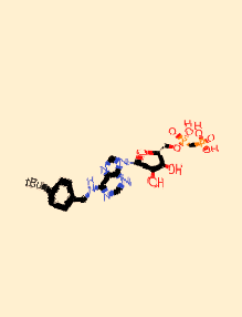 CC(C)(C)c1ccc(CNc2ncnc3c2ncn3[C@@H]2O[C@H](COP(=O)(O)CP(=O)(O)O)[C@@H](O)[C@H]2O)cc1